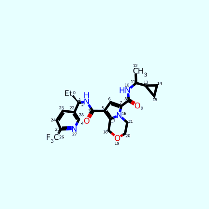 CC[C@@H](NC(=O)c1cc(C(=O)NC(C)C2CC2)n2c1COCC2)c1ccc(C(F)(F)F)nc1